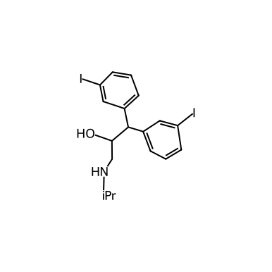 CC(C)NCC(O)C(c1cccc(I)c1)c1cccc(I)c1